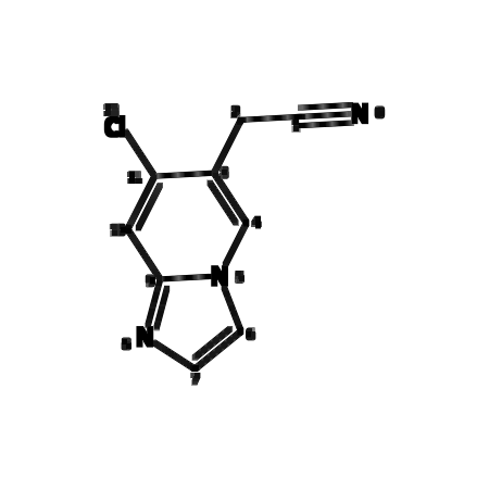 N#CCc1cn2ccnc2cc1Cl